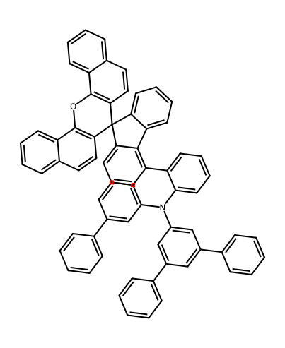 c1ccc(-c2cccc(N(c3cc(-c4ccccc4)cc(-c4ccccc4)c3)c3ccccc3-c3cccc4c3-c3ccccc3C43c4ccc5ccccc5c4Oc4c3ccc3ccccc43)c2)cc1